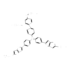 CCCCCCOc1ccc(-c2ccc(N(c3ccc(-c4cc5sc(C=O)cc5s4)cc3)c3ccc(-c4cc5sc(OC)cc5s4)cc3)cc2)c(OCCCCCC)c1